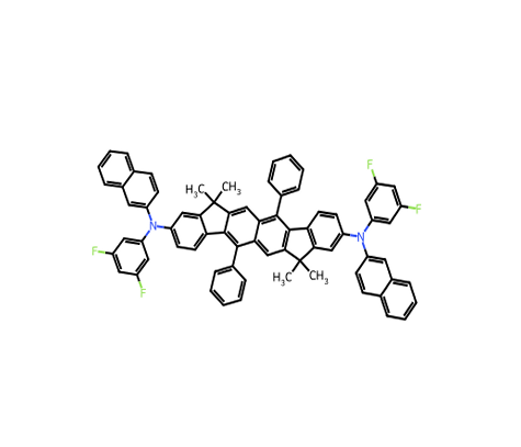 CC1(C)c2cc(N(c3cc(F)cc(F)c3)c3ccc4ccccc4c3)ccc2-c2c1cc1c(-c3ccccc3)c3c(cc1c2-c1ccccc1)C(C)(C)c1cc(N(c2cc(F)cc(F)c2)c2ccc4ccccc4c2)ccc1-3